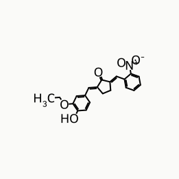 CCOc1cc(/C=C2\CC/C(=C\c3ccccc3[N+](=O)[O-])C2=O)ccc1O